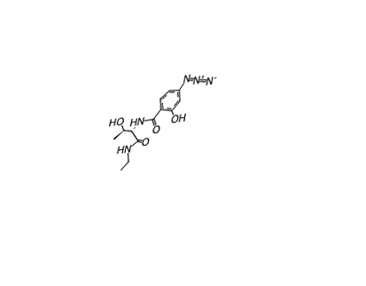 CCNC(=O)[C@@H](NC(=O)c1ccc(N=[N+]=[N-])cc1O)[C@@H](C)O